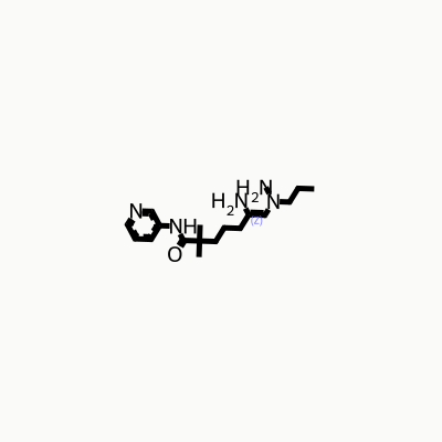 CCCN(N)/C=C(\N)CCCC(C)(C)C(=O)Nc1cccnc1